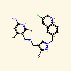 Cc1cc(N)nc(C)c1CNCc1cn(Cc2ccc3ncc(Cl)cc3c2)nc1C#N